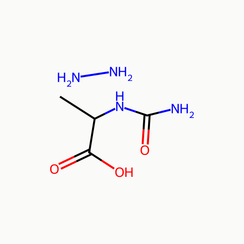 CC(NC(N)=O)C(=O)O.NN